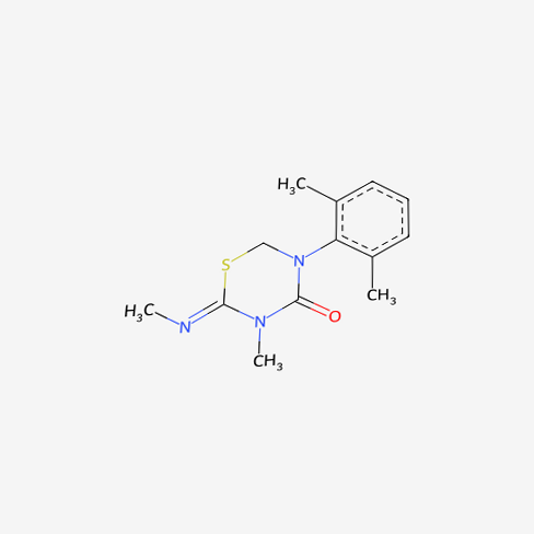 C/N=C1\SCN(c2c(C)cccc2C)C(=O)N1C